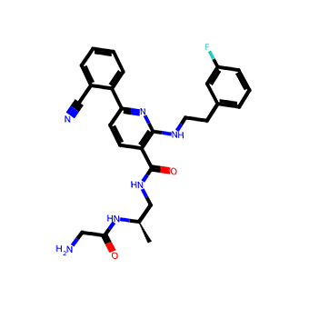 C[C@H](CNC(=O)c1ccc(-c2ccccc2C#N)nc1NCCc1cccc(F)c1)NC(=O)CN